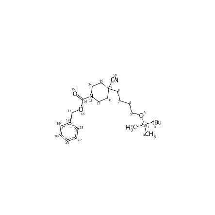 CC(C)(C)[Si](C)(C)OCCCCC1(C#N)CCN(C(=O)OCc2ccccc2)CC1